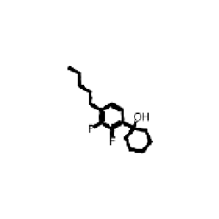 CCCCCc1ccc(C2(O)CCCCC2)c(F)c1F